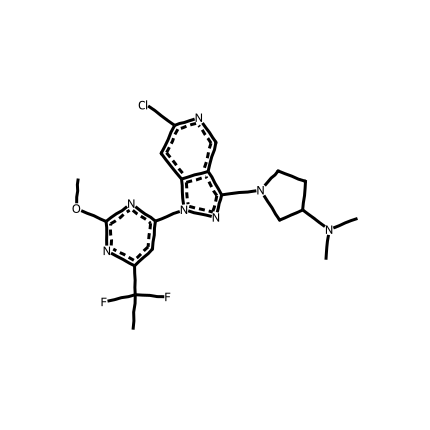 COc1nc(-n2nc(N3CCC(N(C)C)C3)c3cnc(Cl)cc32)cc(C(C)(F)F)n1